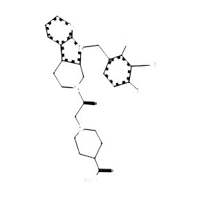 O=C(O)C1CCN(CC(=O)N2CCc3c(n(Cc4ccc(F)c(Cl)c4F)c4ncccc34)C2)CC1